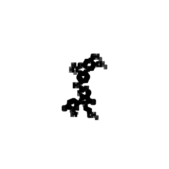 C=CCn1c(=O)c2cnc(Nc3ccc(N4C[C@H](C)N(C)C[C@H]4C)c(C)c3)nc2n1-c1ccc(=O)n(C(C)C)n1